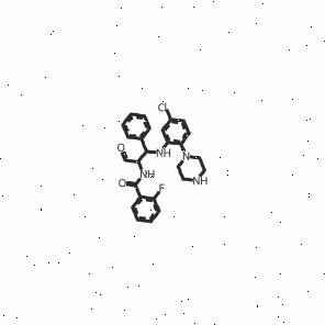 O=CC(NC(=O)c1ccccc1F)C(Nc1cc(Cl)ccc1N1CCNCC1)c1ccccc1